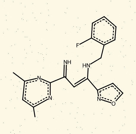 Cc1cc(C)nc(C(=N)/C=C(\NCc2ccccc2F)c2ccon2)n1